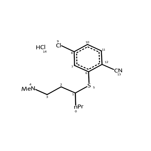 CCCC(CCNC)Sc1cc(Cl)ccc1C#N.Cl